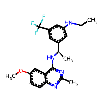 CCNc1cc([C@@H](C)Nc2nc(C)nc3c[c]c(OC)cc23)cc(C(F)(F)F)c1